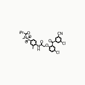 Cc1cc(S(=O)(=O)N(C)C(=O)C(C)C)ccc1NC(=O)COc1ccc(Cl)cc1C(=O)c1cc(Cl)cc(C#N)c1